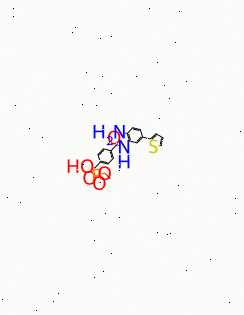 COP(=O)(OC)C(O)c1ccc(C(=O)Nc2cc(-c3cccs3)ccc2N)cc1